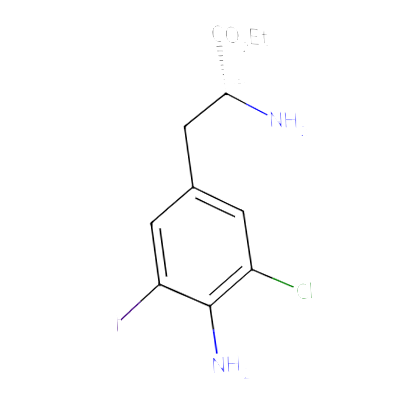 CCOC(=O)[C@H](N)Cc1cc(Cl)c(N)c(I)c1